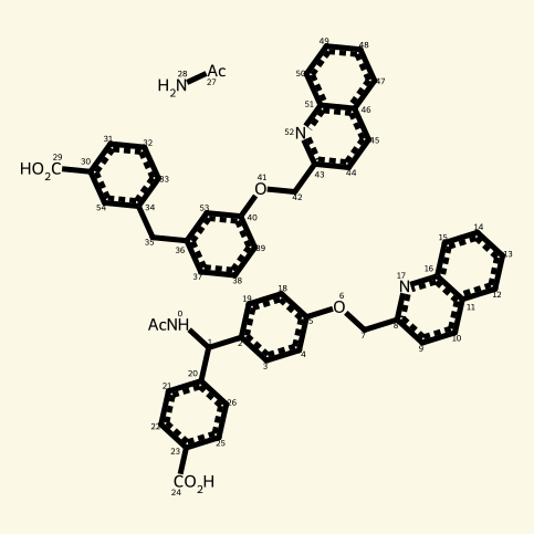 CC(=O)NC(c1ccc(OCc2ccc3ccccc3n2)cc1)c1ccc(C(=O)O)cc1.CC(N)=O.O=C(O)c1cccc(Cc2cccc(OCc3ccc4ccccc4n3)c2)c1